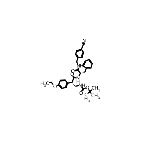 CCOc1ccc([C@@H](CNC(=O)OC(C)(C)C)C(=O)N[C@@H](Cc2ccccc2)C(=O)NCc2ccc(C#N)cc2)cc1